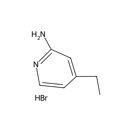 Br.CCc1ccnc(N)c1